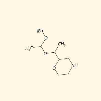 CCC(C)OC(C)OC(C)C1CNCCO1